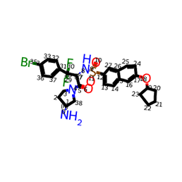 N[C@@H]1CCN(C(=O)[C@@H](NS(=O)(=O)c2ccc3cc(OC4CCCC4)ccc3c2)C(F)(F)c2ccc(Br)cc2)C1